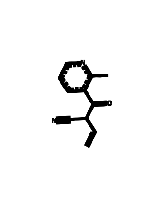 C=CC(C#N)C(=O)c1cccnc1C